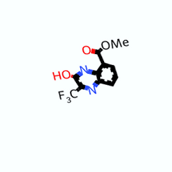 COC(=O)c1cccc2nc(C(F)(F)F)c(O)nc12